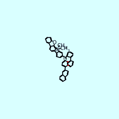 C[Si]1(C)c2cc(N(c3ccc(-c4ccc5ccccc5c4)cc3)c3ccccc3-c3ccccc3)ccc2-c2ccc3c(oc4ccccc43)c21